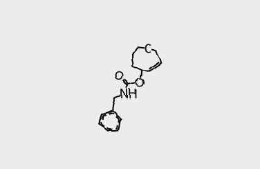 O=C(NCc1ccccc1)OC1C=CCCCCC1